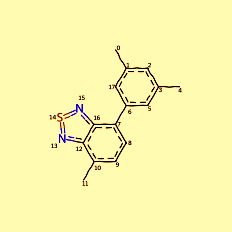 Cc1cc(C)cc(-c2ccc(C)c3nsnc23)c1